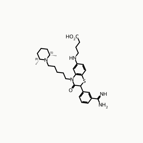 C[C@@H]1CCC[C@H](C)N1CCCCCN1C(=O)C(c2cccc(C(=N)N)c2)Sc2ccc(NCCCC(=O)O)cc21